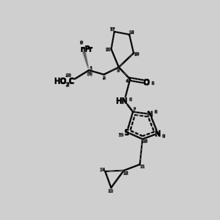 CCC[C@H](CC1(C(=O)Nc2nnc(CC3CC3)s2)CCCC1)C(=O)O